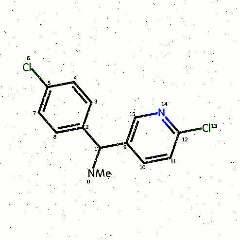 CNC(c1ccc(Cl)cc1)c1ccc(Cl)nc1